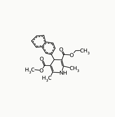 CCOC(=O)C1=C(C)NC(C)=C(C(=O)OC)C1c1ccc2ccccc2c1